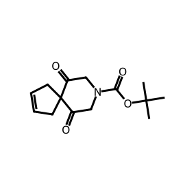 CC(C)(C)OC(=O)N1CC(=O)C2(CC=CC2)C(=O)C1